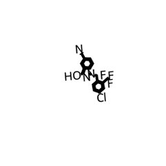 N#Cc1ccc2c(c1)c(O)nn2Cc1ccc(Cl)cc1C(F)(F)F